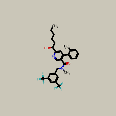 CCCCCC(O)c1cc(-c2ccccc2C)c(C(=O)N(C)Cc2cc(C(F)(F)F)cc(C(F)(F)F)c2)cn1